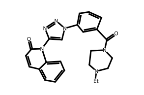 CCN1CCN(C(=O)c2cccc(-n3cc(-n4c(=O)ccc5ccccc54)nn3)c2)CC1